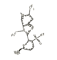 CCS(=O)(=O)c1ccc(NC)nc1-c1nc2cc(C(F)(F)F)ncc2n1C